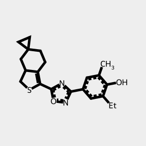 CCc1cc(-c2noc(C3=C4CCC5(CC5)CC4CS3)n2)cc(C)c1O